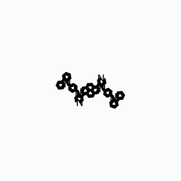 c1ccc2c(c1)c1ccccc1n2-c1ccc(-n2c3ccncc3c3c4ccc5cc6c(c7ccc(cc32)c4c57)c2cnccc2n6-c2ccc(-n3c4ccccc4c4ccccc43)cc2)cc1